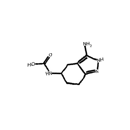 Nc1[nH]nc2c1CC(NC(=O)O)CC2